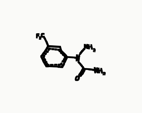 NC(=O)N(N)c1cccc(C(F)(F)F)c1